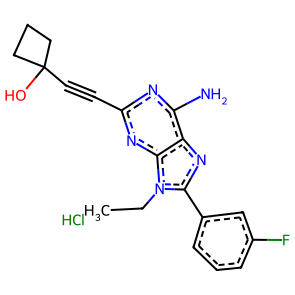 CCn1c(-c2cccc(F)c2)nc2c(N)nc(C#CC3(O)CCC3)nc21.Cl